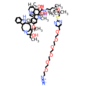 CC[C@]1(O)C[C@H]2CN(CCc3c([nH]c4ccccc34)[C@@](C)(c3cc4c(cc3OC)N(C)[C@H]3[C@@](O)(C(=O)NCCC[Si](C)(C)O[Si](C)(C)CSc5ncc(COCCOCCOCCOCCOCCOCCN=[N+]=[N-])cn5)[C@H](O)[C@]5(CC)C=CCN6CC[C@]43[C@@H]65)C2)C1